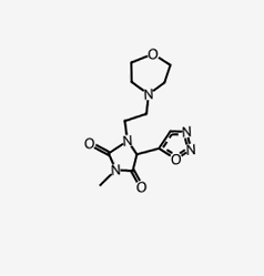 CN1C(=O)C(c2cnno2)N(CCN2CCOCC2)C1=O